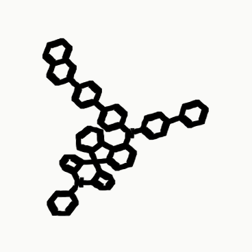 c1ccc(-c2ccc(N(c3ccc(-c4ccc(-c5ccc6ccccc6c5)cc4)cc3)c3cccc4c3-c3ccccc3C43c4ccccc4N(c4ccccc4)c4ccccc43)cc2)cc1